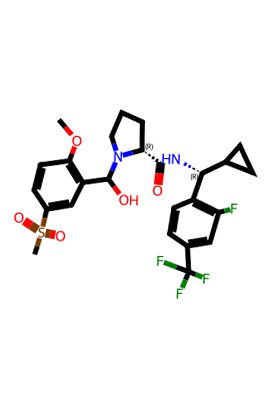 COc1ccc(S(C)(=O)=O)cc1C(O)N1CCC[C@@H]1C(=O)N[C@@H](c1ccc(C(F)(F)F)cc1F)C1CC1